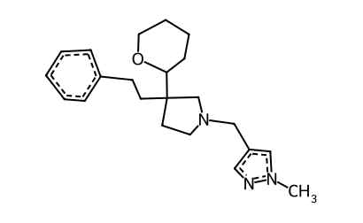 Cn1cc(CN2CCC(CCc3ccccc3)(C3CCCCO3)C2)cn1